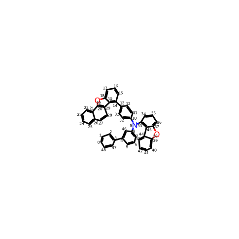 c1ccc(-c2cccc(N(c3ccc(-c4cccc5oc6c7ccccc7ccc6c45)cc3)c3cccc4oc5ccccc5c34)c2)cc1